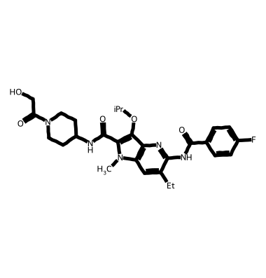 CCc1cc2c(nc1NC(=O)c1ccc(F)cc1)c(OC(C)C)c(C(=O)NC1CCN(C(=O)CO)CC1)n2C